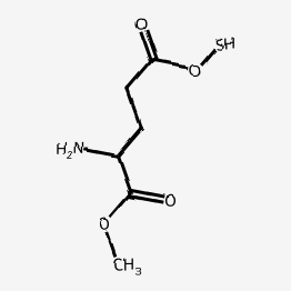 COC(=O)C(N)CCC(=O)OS